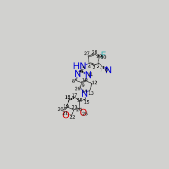 N#Cc1cc(Nc2ncc3c(n2)CCN(CC2C=CC4=COCC4C2=O)C3)ccc1F